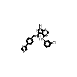 Clc1cccc(Nc2ncnc3[nH]nc(NCc4ccc(-c5cncs5)cc4)c23)c1